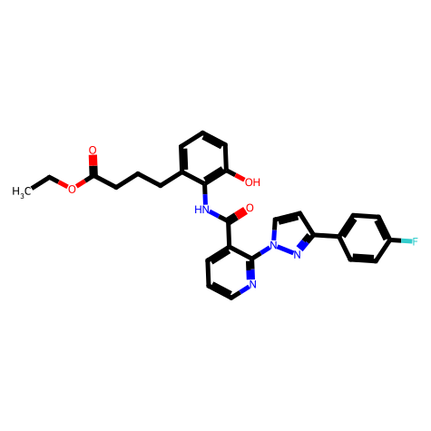 CCOC(=O)CCCc1cccc(O)c1NC(=O)c1cccnc1-n1ccc(-c2ccc(F)cc2)n1